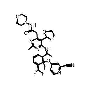 Cc1nc(CC(=O)NN2CCOCC2)c(C2OCCO2)c(NC(C)C2C=CC=C(C(F)F)C2(F)Oc2ccnc(C#N)c2)n1